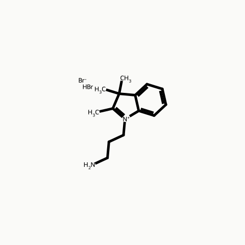 Br.CC1=[N+](CCCN)c2ccccc2C1(C)C.[Br-]